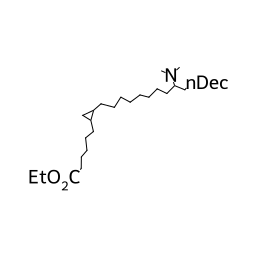 CCCCCCCCCCCC(CCCCCCCCC1CC1CCCCCC(=O)OCC)N(C)C